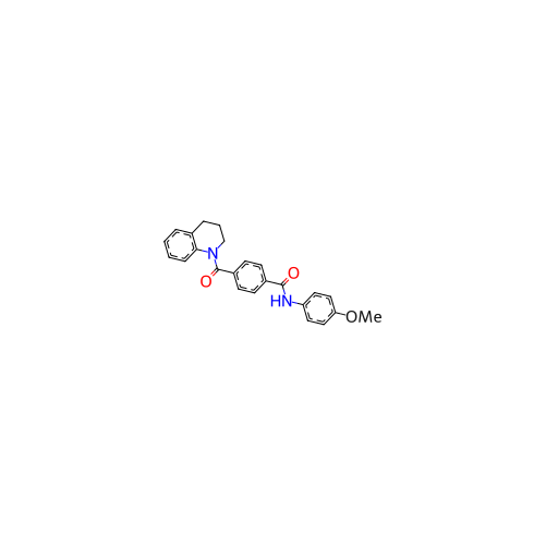 COc1ccc(NC(=O)c2ccc(C(=O)N3CCCc4ccccc43)cc2)cc1